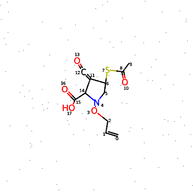 C=CCON1CC(SC(C)=O)C(=C=O)C1C(=O)O